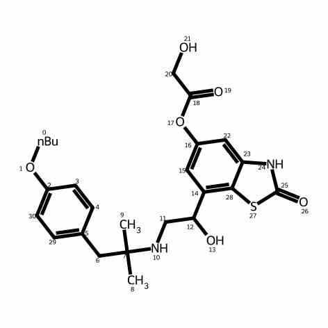 CCCCOc1ccc(CC(C)(C)NCC(O)c2cc(OC(=O)CO)cc3[nH]c(=O)sc23)cc1